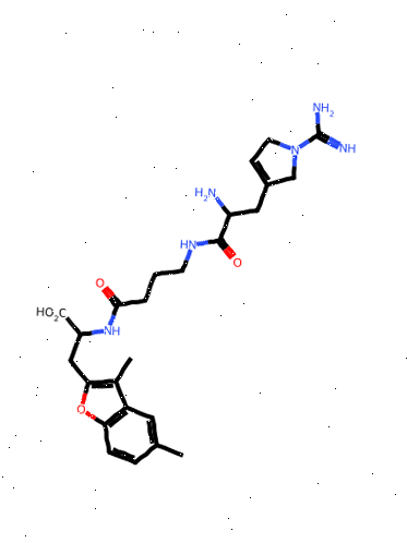 Cc1ccc2oc(CC(NC(=O)CCCNC(=O)C(N)CC3=CCN(C(=N)N)C3)C(=O)O)c(C)c2c1